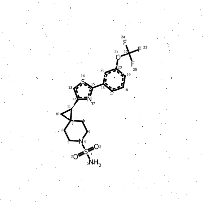 NS(=O)(=O)N1CCC2(CC1)C[C@H]2c1csc(-c2cccc(OC(F)(F)F)c2)n1